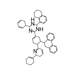 C1=CCC(C2N=C(C3=CCC(C4=NC(C5=CCCCC5)CC=C4)C(C4Cc5ccccc5-c5ccccc54)C3)NC(c3cccc4c3CCCC4)N2)C=C1